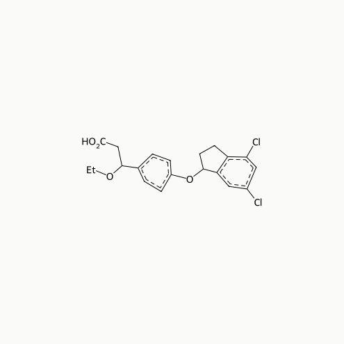 CCOC(CC(=O)O)c1ccc(OC2CCc3c(Cl)cc(Cl)cc32)cc1